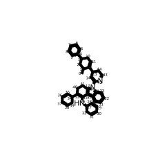 CC1CC(c2ccccc2)CC=C1C1C=C(n2c3c(c4ccccc42)C(NC2C=CC=CC2)=C(C2C=CC=CC2)CC3)N=CC1